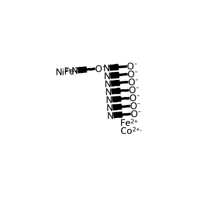 N#C[O-].N#C[O-].N#C[O-].N#C[O-].N#C[O-].N#C[O-].N#C[O-].N#C[O-].[Co+2].[Fe+2].[Fe+2].[Ni+2]